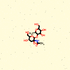 CC(=O)NC1(O)C[C@H](O)C(CO)O[C@H]1OC1C(O)[C@H](O)C(CO)O[C@@H]1C